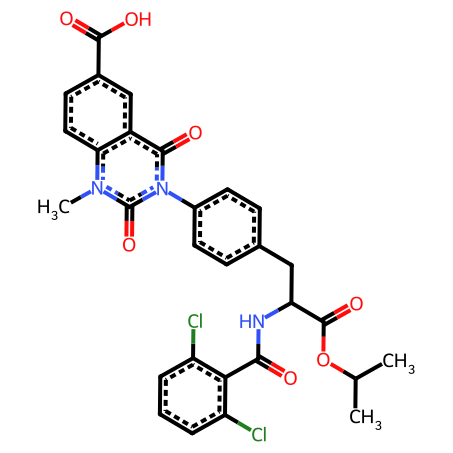 CC(C)OC(=O)C(Cc1ccc(-n2c(=O)c3cc(C(=O)O)ccc3n(C)c2=O)cc1)NC(=O)c1c(Cl)cccc1Cl